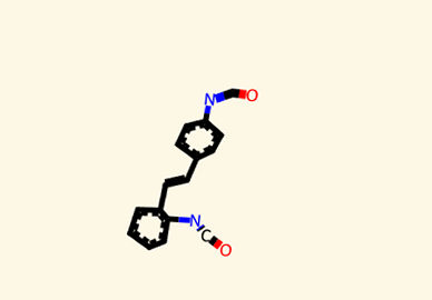 O=C=Nc1ccc(C=Cc2ccccc2N=C=O)cc1